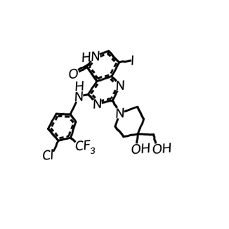 O=c1[nH]cc(I)c2nc(N3CCC(O)(CO)CC3)nc(Nc3ccc(Cl)c(C(F)(F)F)c3)c12